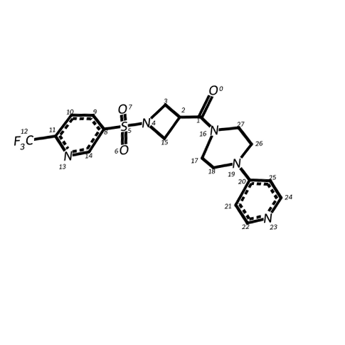 O=C(C1CN(S(=O)(=O)c2ccc(C(F)(F)F)nc2)C1)N1CCN(c2ccncc2)CC1